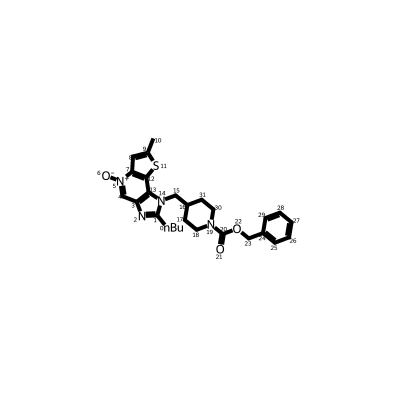 CCCCc1nc2c[n+]([O-])c3cc(C)sc3c2n1CC1CCN(C(=O)OCc2ccccc2)CC1